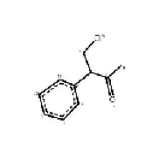 CC(=O)C(CCl)c1ccccc1